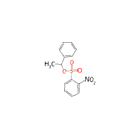 CC(OS(=O)(=O)c1ccccc1[N+](=O)[O-])c1ccccc1